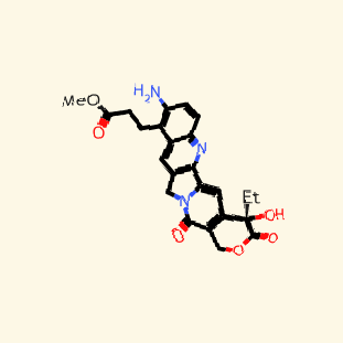 CC[C@@]1(O)C(=O)OCc2c1cc1n(c2=O)Cc2cc3c(CCC(=O)OC)c(N)ccc3nc2-1